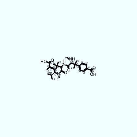 CN[C@H](C(=O)NC(C(=O)N(C)[C@H](/C=C(\C)C(=O)O)C(C)C)C(C)(C)C)C(C)(C)c1ccc(C(=O)O)cc1